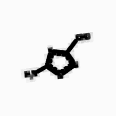 Nc1nnc(C=O)s1